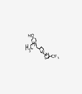 CC1CC(O)CCN1CC1CCN(c2nc(C(F)(F)F)cs2)C1